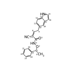 CC(ONC(=O)C(C#N)=CCc1ccc2[nH]ccc2c1)c1ccccc1